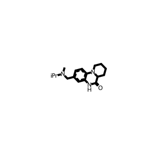 CC(C)N(C)Cc1ccc2c(c1)NC(=O)C1CCCCN21